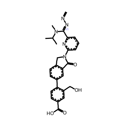 C=N/N=C(/c1cccc(N2Cc3ccc(-c4ccc(C(=O)O)cc4CO)cc3C2=O)n1)N(C)C(C)C